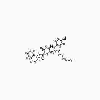 O=C(O)CCCCc1nc2cc(C(=O)NC3CCCc4ccccc43)c(F)cc2nc1-c1ccc(Cl)cc1